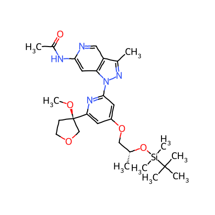 CO[C@]1(c2cc(OC[C@@H](C)O[Si](C)(C)C(C)(C)C)cc(-n3nc(C)c4cnc(NC(C)=O)cc43)n2)CCOC1